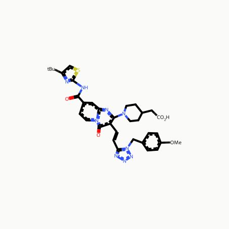 COc1ccc(Cn2nnnc2C=Cc2c(N3CCC(CC(=O)O)CC3)nc3cc(C(=O)Nc4nc(C(C)(C)C)cs4)ccn3c2=O)cc1